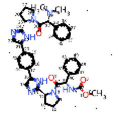 COC(=O)N[C@@H](C(=O)N1CCC[C@H]1c1ncc(-c2ccc(-c3cnc([C@@H]4CCCN4C(=O)[C@@H](c4ccccc4)N(C)C)[nH]3)cc2)[nH]1)c1ccccc1